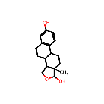 C[C@]12CCC3c4ccc(O)cc4CCC3C1COC2O